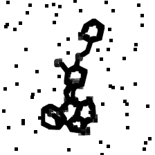 C=CC(=O)N1CC2CCC(C1)[C@H](c1c[nH]c3ncnc(Nc4ccc(OCc5ccccn5)c(Cl)c4)c13)C2